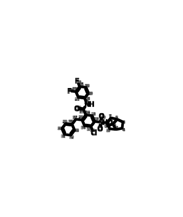 CC1(O)C2CCC1CC(S(=O)(=O)c1cc(C(=O)Nc3ccc(F)c(F)c3)c(Cc3ccccc3)cc1Cl)C2